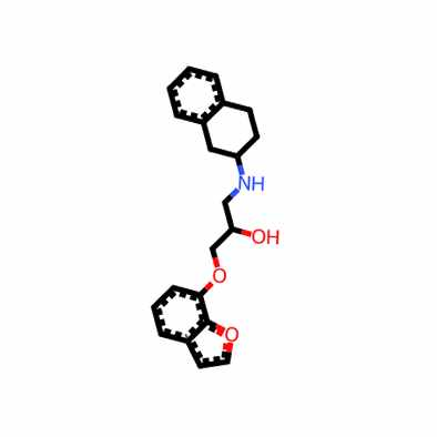 OC(CNC1CCc2ccccc2C1)COc1cccc2ccoc12